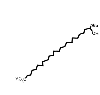 CCCCC(O)CCCCCCCCCCCCCCCCCCCCCC(=O)O